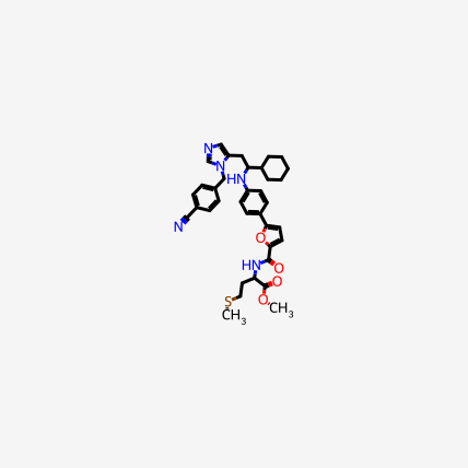 COC(=O)C(CCSC)NC(=O)c1ccc(-c2ccc(NC(Cc3cncn3Cc3ccc(C#N)cc3)C3CCCCC3)cc2)o1